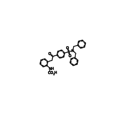 O=C(O)Nc1ccccc1CC(=O)c1ccc(S(=O)(=O)N(Cc2ccccc2)Cc2ccccc2)cc1